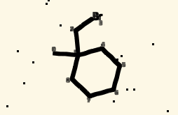 CC1(CBr)CCCCC1